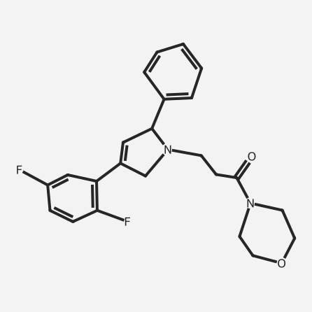 O=C(CCN1CC(c2cc(F)ccc2F)=CC1c1ccccc1)N1CCOCC1